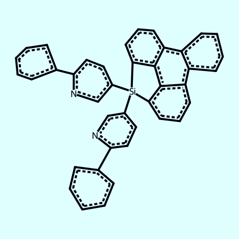 c1ccc(-c2ccc([Si]3(c4ccc(-c5ccccc5)nc4)c4cccc5c6ccccc6c6cccc3c6c45)cn2)cc1